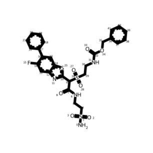 NS(=O)(=O)CCNC(=O)C(c1nc2cc(F)c(-c3ccccc3)cc2s1)S(=O)(=O)CCNC(=O)OCc1ccccc1